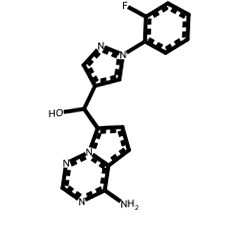 Nc1ncnn2c(C(O)c3cnn(-c4ccccc4F)c3)ccc12